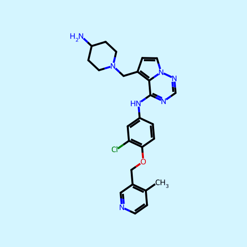 Cc1ccncc1COc1ccc(Nc2ncnn3ccc(CN4CCC(N)CC4)c23)cc1Cl